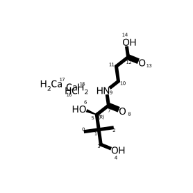 CC(C)(CO)[C@@H](O)C(=O)NCCC(=O)O.Cl.[CaH2].[CaH2]